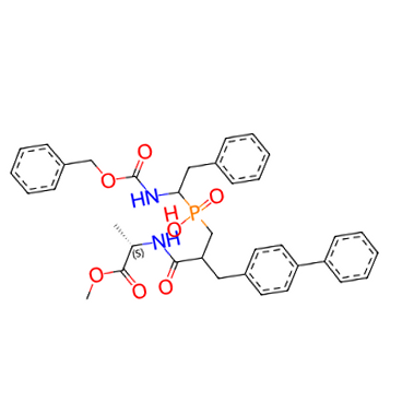 COC(=O)[C@H](C)NC(=O)C(Cc1ccc(-c2ccccc2)cc1)CP(=O)(O)C(Cc1ccccc1)NC(=O)OCc1ccccc1